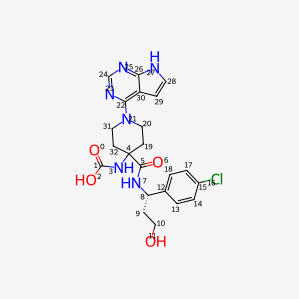 O=C(O)NC1(C(=O)N[C@@H](CCO)c2ccc(Cl)cc2)CCN(c2ncnc3[nH]ccc23)CC1